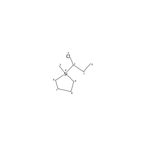 CCC(Cl)[Si]1(C)CCCC1